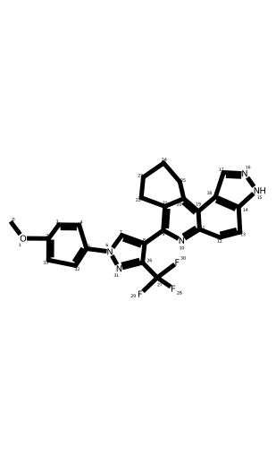 COc1ccc(-n2cc(-c3nc4ccc5[nH]ncc5c4c4c3CCCC4)c(C(F)(F)F)n2)cc1